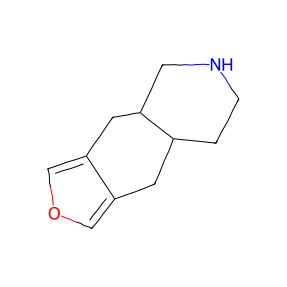 c1occ2c1CC1CCNCC1C2